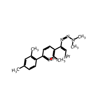 C\C=C(/C=C\C(C(=C/CCC)\N=N/N(C)C)=C(\C)CC)c1ccc(C)cc1C